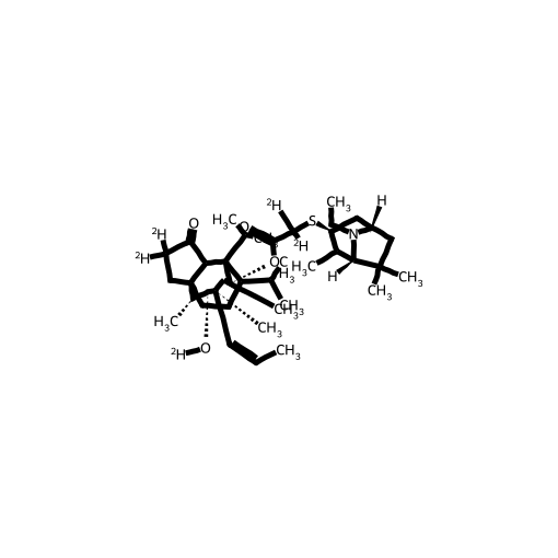 [2H]O[C@H]1[C@H](C)C23CCC(C(C)C)C(C(C)C)(C2C(=O)C([2H])([2H])C3)[C@H](OC(=O)C([2H])([2H])S[C@H]2C[C@@H]3CC(C)(C)[C@H](C2C)N3CC)C(C)[C@@]1(C)/C=C\C